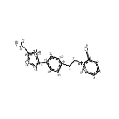 O=c1cccnn1CCc1ccc(-c2noc(C(F)(F)F)n2)cc1